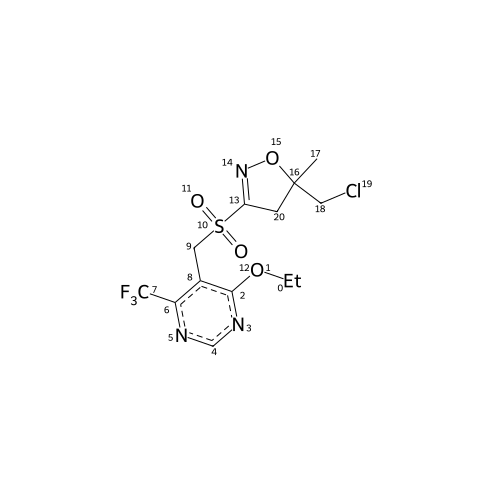 CCOc1ncnc(C(F)(F)F)c1CS(=O)(=O)C1=NOC(C)(CCl)C1